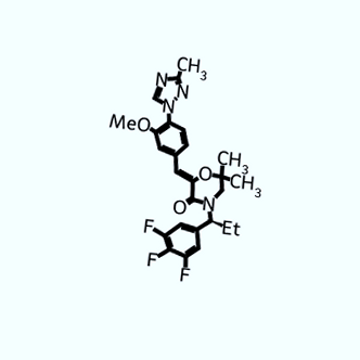 CC[C@@H](c1cc(F)c(F)c(F)c1)N1CC(C)(C)O/C(=C\c2ccc(-n3cnc(C)n3)c(OC)c2)C1=O